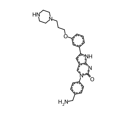 NCc1ccc(-n2cc3cc(-c4cccc(OCCCN5CCNCC5)c4)[nH]c3nc2=O)cc1